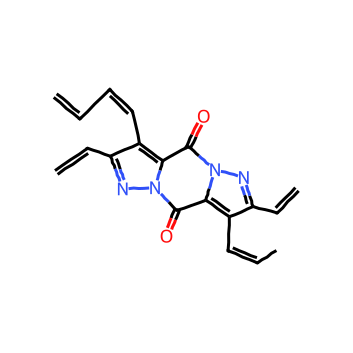 C=C/C=C\c1c(C=C)nn2c(=O)c3c(/C=C\C)c(C=C)nn3c(=O)c12